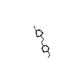 CCc1ccc(CCc2ccc(F)cc2)cc1